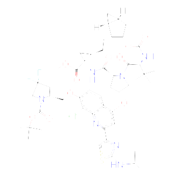 CC[C@@H]1C[C@]1(NC(=O)[C@@H]1C[C@@H](Oc2cc(-c3csc(NC(C)C)n3)nc3c(Cl)c(OC[C@@H]4CC(F)(F)CN4C(=O)OC(C)(C)C)ccc23)CN1C(=O)[C@@H](NC(=O)O[C@@H]1C[C@@H]2C[C@@H]2C1)C(C)(C)C)C(=O)OC